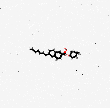 CCCCCCCC1CCc2cc(C(=O)OC3CCC(C)CC3)ccc2C1